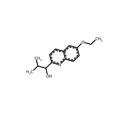 CCOc1ccc2nc(C(O)C(C)C)ccc2c1